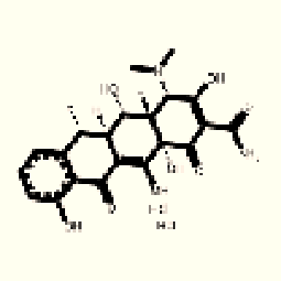 C[C@H]1c2cccc(O)c2C(=O)C2=C(O)[C@]3(O)C(=O)C(C(N)=O)=C(O)[C@@H](N(C)C)[C@H]3[C@@H](O)[C@@H]21.Cl.Cl